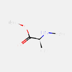 CC[C@H](C)OC(=O)[C@H](C)NC(C)(C)C